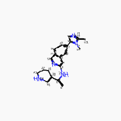 C=C(Nc1cc2cc(-c3cnc(C)n3C)ccc2cn1)C1CCCNC1